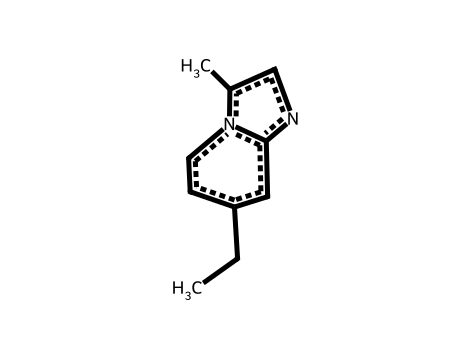 CCc1ccn2c(C)cnc2c1